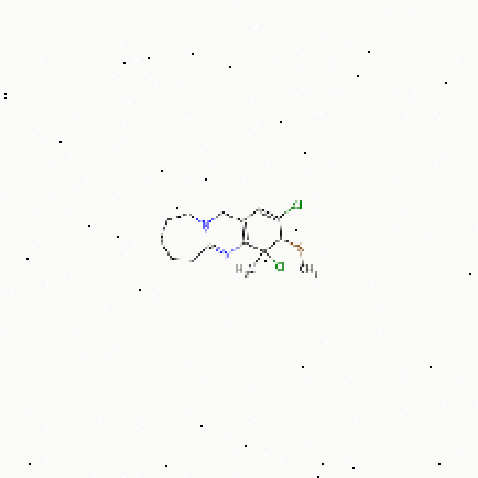 CSC1C(Cl)=CC2=C(N=C3CCCCCN3C2)C1(C)Cl